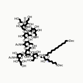 CCCCCCCCCCCCC/C=C/[C@@H](O)[C@H](CO[C@@H]1OC(CO)[C@@H](O[C@@H]2OC(CO)[C@H](O[C@@H]3OC(CO)[C@H](O)[C@H](O[C@@H]4OC(CO)[C@H](O[C@@H]5OC(CO)[C@H](O)[C@H](O)C5NC(C)=O)[C@H](O[C@]5(C(=O)O)CC(O)[C@@H](NC(=O)CO)C([C@H](O)[C@H](O)CO)O5)C4O)C3NC(C)=O)[C@H](O[C@]3(C(=O)O)CC(O)[C@@H](NC(C)=O)C([C@H](O)[C@H](O)CO)O3)C2O)[C@H](O)C1O)NC(=O)CCCCCCCCCCCCCCCCCCCCC